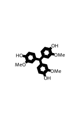 COc1cc(C(c2ccc(O)c(OC)c2)c2ccc(O)c(OC)c2)ccc1O